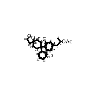 CC(=O)OC(C)Cc1cc(C(F)(F)F)c(C2(c3ccccc3)CCC3(CCOO3)CC2)c(C(F)(F)F)c1